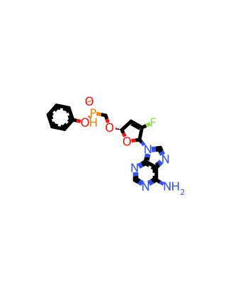 Nc1ncnc2c1ncn2C1O[C@H](OC[PH](=O)Oc2ccccc2)C=C1F